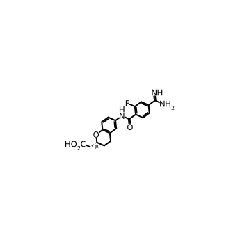 N=C(N)c1ccc(C(=O)Nc2ccc3c(c2)CC[C@H](CC(=O)O)O3)c(F)c1